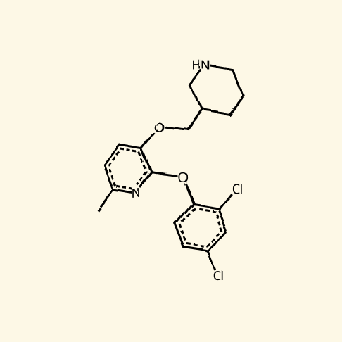 Cc1ccc(OCC2CCCNC2)c(Oc2ccc(Cl)cc2Cl)n1